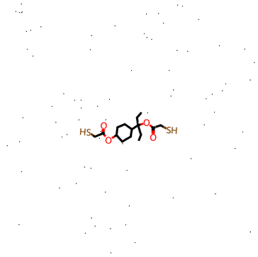 CCC(CC)(OC(=O)CS)C1CCC(OC(=O)CS)CC1